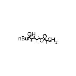 C=CC(=O)OCCCCC(O)CCCC